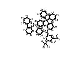 CC(C)(C)c1cc(N(c2ccc(-c3cccc4c3oc3ccccc34)cc2)c2cccc3c2-c2ccccc2C3(c2ccccc2)c2ccccc2)cc(C(C)(C)C)c1